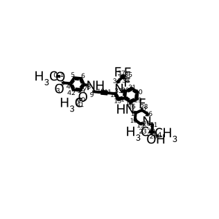 COC(=O)c1ccc(NCC#Cc2cc3c(NC4CCN(CC(C)(C)O)C[C@H]4F)cccc3n2CC(F)(F)F)c(OC)c1